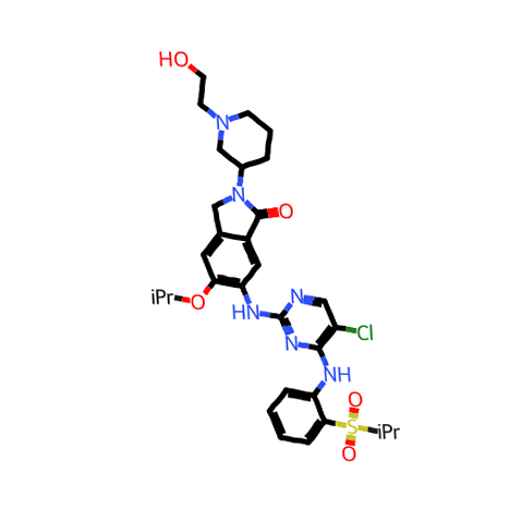 CC(C)Oc1cc2c(cc1Nc1ncc(Cl)c(Nc3ccccc3S(=O)(=O)C(C)C)n1)C(=O)N(C1CCCN(CCO)C1)C2